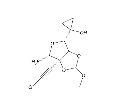 B[C@@H]1O[C@H](C2(O)CC2)C2OC(OC)O[C@]21C#CCl